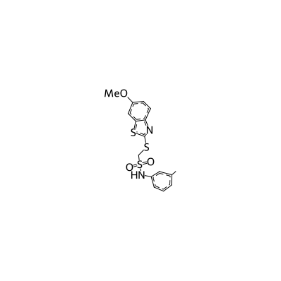 COc1ccc2nc(SCS(=O)(=O)Nc3cccc(C)c3)sc2c1